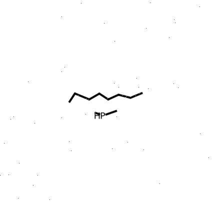 CCCCCCCC.CPC